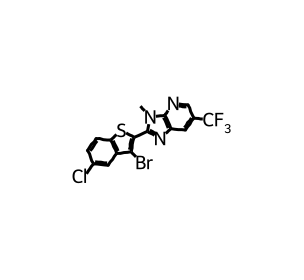 Cn1c(-c2sc3ccc(Cl)cc3c2Br)nc2cc(C(F)(F)F)cnc21